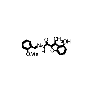 COc1ccccc1/C=N/NC(=O)c1oc2cccc(O)c2c1C